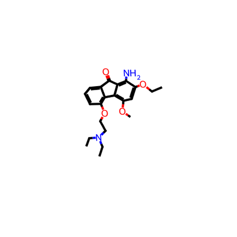 CCOc1cc(OC)c2c(c1N)C(=O)c1cccc(OCCN(CC)CC)c1-2